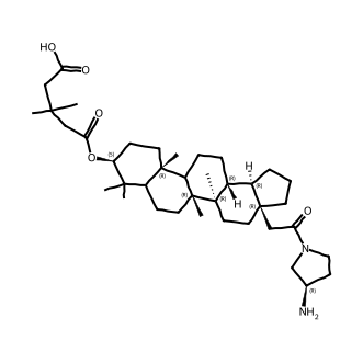 CC(C)(CC(=O)O)CC(=O)O[C@H]1CC[C@@]2(C)C(CC[C@]3(C)C2CC[C@@H]2[C@H]4CCC[C@]4(CC(=O)N4CC[C@@H](N)C4)CC[C@]23C)C1(C)C